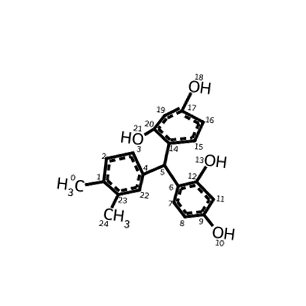 Cc1ccc(C(c2ccc(O)cc2O)c2ccc(O)cc2O)cc1C